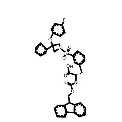 O=C(N[C@@H](Cc1cccc(S(=O)(=O)N2CC(Oc3ccc(F)cc3)(c3ccccc3)C2)c1)C(=O)O)OCC1c2ccccc2-c2ccccc21